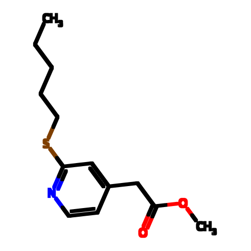 CCCCCSc1cc(CC(=O)OC)ccn1